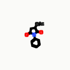 CC(=O)OC1CC(=O)N(c2ccccc2)C1=O